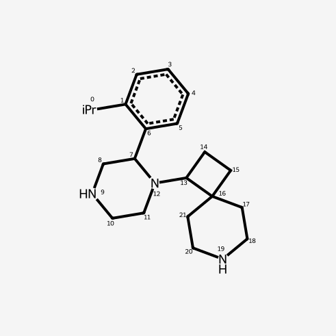 CC(C)c1ccccc1C1CNCCN1C1CCC12CCNCC2